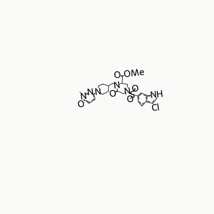 COC(=O)C1CN(S(=O)(=O)c2ccc3c(Cl)c[nH]c3c2)CC(=O)N1CC1CCN(c2ccc(=O)n(C)n2)CC1